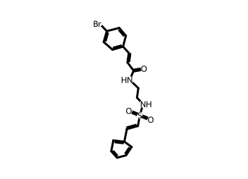 O=C(/C=C/c1ccc(Br)cc1)NCCNS(=O)(=O)/C=C/c1ccccc1